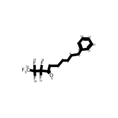 O=C(CCCCCCc1ccccc1)C(F)(F)C(F)(F)C(F)(F)F